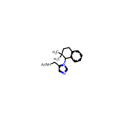 CC(=O)NCc1cncn1C1c2ccccc2CCC1(C)C